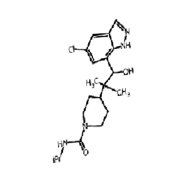 CC(C)NC(=O)N1CCC(C(C)(C)C(O)c2cc(Cl)cc3cn[nH]c23)CC1